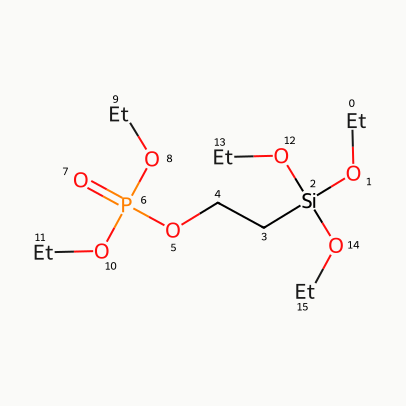 CCO[Si](CCOP(=O)(OCC)OCC)(OCC)OCC